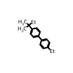 CCc1ccc(-c2ccc(C(C)(C)CC)cc2)cc1